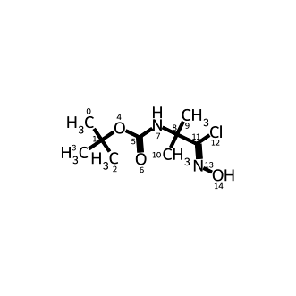 CC(C)(C)OC(=O)NC(C)(C)C(Cl)=NO